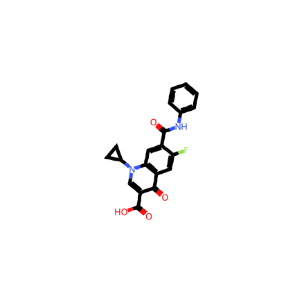 O=C(Nc1ccccc1)c1cc2c(cc1F)c(=O)c(C(=O)O)cn2C1CC1